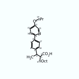 CCCCCCCCC(C(=O)O)C(C)c1ccc(-c2ncc(OCCC)cn2)cc1